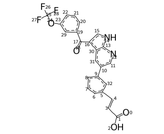 O=C(O)C=Cc1cccc(-c2cnc3[nH]cc(C(=O)c4cccc(OC(F)(F)F)c4)c3c2)c1